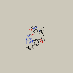 CCOCc1ccc(C)c(Nc2ncc(-c3cc(N(C)C)cc(-n4ccccc4=O)c3)o2)c1